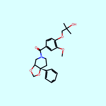 COc1cc(C(=O)N2CC[C@]3(c4ccccc4)OCOC3C2)ccc1OCC(C)(C)O